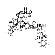 COC(C(=O)N1Cc2[nH]nc(NC(=O)c3ccc(N4CCC(CN5C6CCC5CN(c5cc7c(cc5F)C(=O)N(C5CCC(=O)NC5=O)C7=O)C6)CC4)cc3)c2C1)c1ccccc1